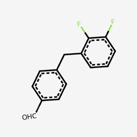 O=Cc1ccc(Cc2cccc(F)c2F)cc1